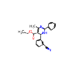 CCOC(=O)C1=C(C)N=C(c2ccccc2)NC1c1cccc(C#N)c1